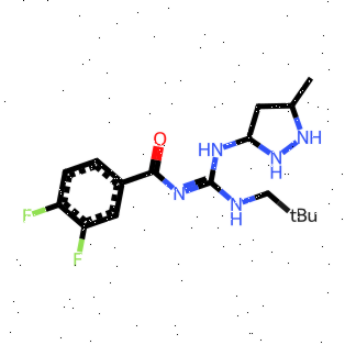 CC1CC(N/C(=N\C(=O)c2ccc(F)c(F)c2)NCC(C)(C)C)NN1